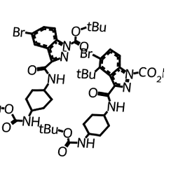 CC(C)(C)OC(=O)NC1CCC(NC(=O)c2nn(C(=O)O)c3ccc(Br)c(C(C)(C)C)c23)CC1.CC(C)(C)OC(=O)NC1CCC(NC(=O)c2nn(C(=O)OC(C)(C)C)c3ccc(Br)cc23)CC1